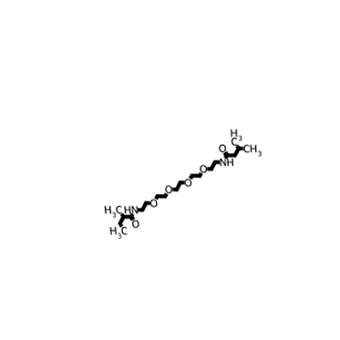 CCC(C)C(=O)NCCOCCOCCOCCOCCNC(=O)CC(C)C